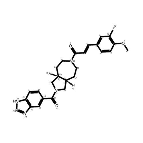 COc1ccc(C=CC(=O)N2CC[C@@H]3CN(C(=O)c4ccc5[nH]nnc5c4)C[C@@H]3CC2)cc1F